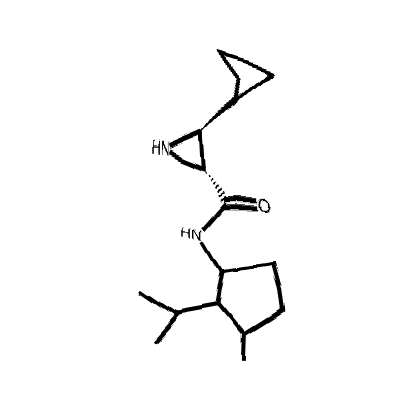 CC(C)C1C(C)CCC1NC(=O)[C@@H]1N[C@H]1C1CC1